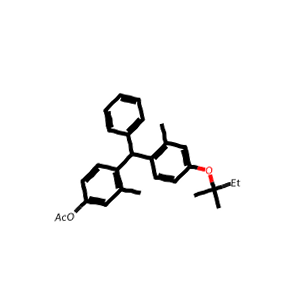 CCC(C)(C)Oc1ccc(C(c2ccccc2)c2ccc(OC(C)=O)cc2C)c(C)c1